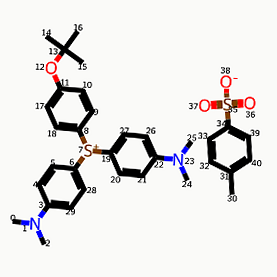 CN(C)c1ccc([S+](c2ccc(OC(C)(C)C)cc2)c2ccc(N(C)C)cc2)cc1.Cc1ccc(S(=O)(=O)[O-])cc1